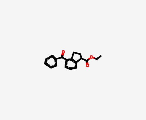 CCOC(=O)C1CCc2c(C(=O)c3ccccc3)cccc21